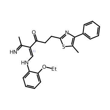 CCOc1ccccc1N/C=C(\C(C)=N)C(=O)CCc1nc(-c2ccccc2)c(C)s1